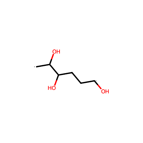 [CH2]C(O)C(O)CC[CH]O